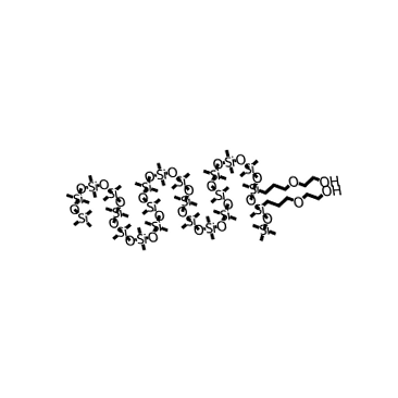 C[Si](C)(C)O[Si](C)(C)O[Si](C)(C)O[Si](C)(C)O[Si](C)(C)O[Si](C)(C)O[Si](C)(C)O[Si](C)(C)O[Si](C)(C)O[Si](C)(C)O[Si](C)(C)O[Si](C)(C)O[Si](C)(C)O[Si](C)(C)O[Si](C)(C)O[Si](C)(C)O[Si](C)(C)O[Si](C)(C)O[Si](C)(C)O[Si](C)(C)O[Si](C)(CCCOCCO)O[Si](C)(CCCOCCO)O[Si](C)(C)C